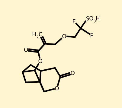 C=C(COCC(F)(F)S(=O)(=O)O)C(=O)OC1C2CC3CC(=O)OC1C3C2